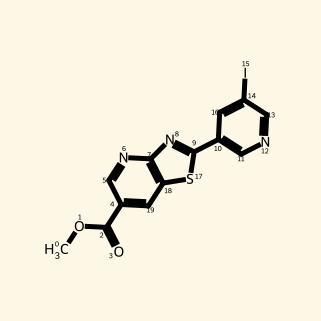 COC(=O)c1cnc2nc(-c3cncc(I)c3)sc2c1